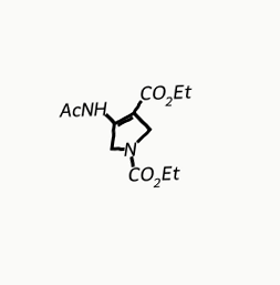 CCOC(=O)C1=C(NC(C)=O)CN(C(=O)OCC)C1